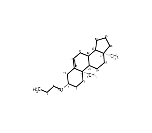 CCCO[C@H]1CC[C@@]2(C)C(=CCC3C4CCC[C@@]4(C)CCC32)C1